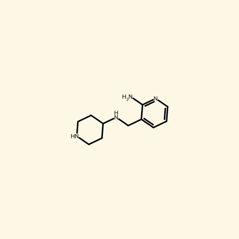 Nc1ncccc1CNC1CCNCC1